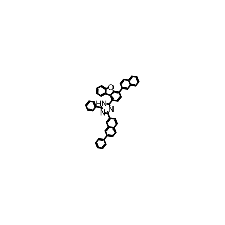 c1ccc(C2=NC(c3ccc4ccc(-c5ccccc5)cc4c3)=NC(c3ccc(-c4ccc5ccccc5c4)c4oc5ccccc5c34)N2)cc1